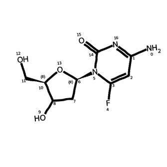 Nc1cc(F)n([C@H]2CC(O)[C@@H](CO)O2)c(=O)n1